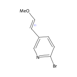 CO/C=C/c1ccc(Br)nc1